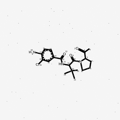 CC(=O)C1CCCN1C(=O)C(NC(=O)c1ccc(N)c(Cl)c1)C(C)(C)C